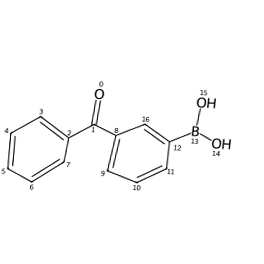 O=C(c1ccccc1)c1cccc(B(O)O)c1